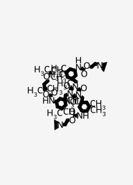 CC1(C)CC(NC(=O)OCCN2CC2)CC(C)(Cn2c(=O)n(CC3(C)CC(NC(=O)OCCN4CC4)CC(C)(C)C3)c(=O)n(CC3(C)CC(NC(=O)OC(C)(C)CCOC(C)(C)C)CC(C)(C)C3)c2=O)C1